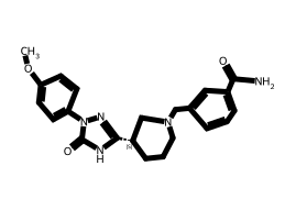 COc1ccc(-n2nc([C@H]3CCCN(Cc4cccc(C(N)=O)c4)C3)[nH]c2=O)cc1